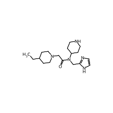 CCC1CCN(CC(=O)N(Cc2ncc[nH]2)C2CCNCC2)CC1